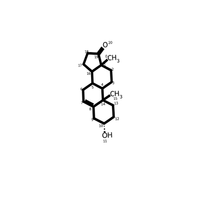 CC12CCC3C(CC=C4C[C@@H](O)CCC43C)C1CCC2=O